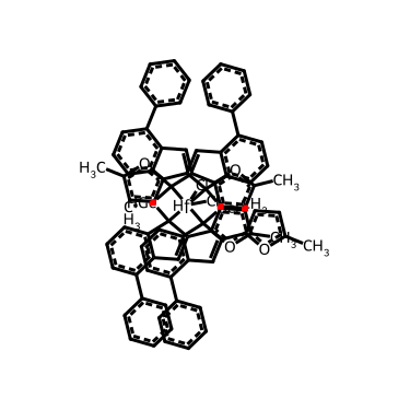 Cc1ccc(C2=Cc3c(-c4ccccc4)cccc3[C]23[GeH]([CH3])[C]2(C(c4ccc(C)o4)=Cc4c(-c5ccccc5)cccc42)[Hf]32([Cl])([Cl])[C]3(C(c4ccc(C)o4)=Cc4c(-c5ccccc5)cccc43)[GeH]([CH3])[C]23C(c2ccc(C)o2)=Cc2c(-c4ccccc4)cccc23)o1